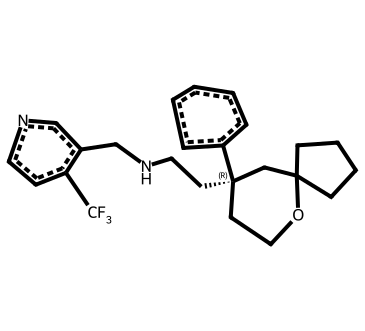 FC(F)(F)c1ccncc1CNCC[C@@]1(c2ccccc2)CCOC2(CCCC2)C1